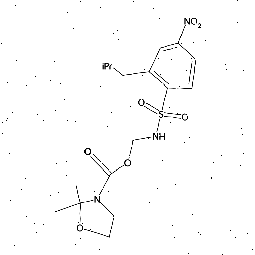 CC(C)Cc1cc([N+](=O)[O-])ccc1S(=O)(=O)NCOC(=O)N1CCOC1(C)C